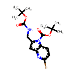 CC(C)(C)OC(=O)NCc1cc2nc(Br)ccc2n1C(=O)OC(C)(C)C